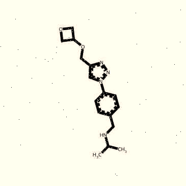 CC(C)NCc1ccc(-n2cc(COC3COC3)nn2)cc1